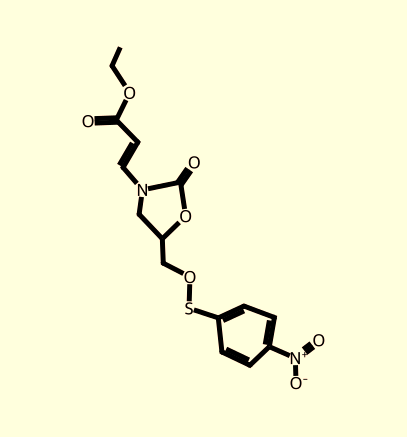 CCOC(=O)/C=C/N1CC(COSc2ccc([N+](=O)[O-])cc2)OC1=O